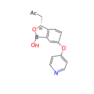 CC(=O)C[C@H]1OB(O)c2cc(Oc3ccncc3)ccc21